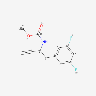 C#CC(Cc1cc(F)cc(F)c1)NC(=O)OC(C)(C)C